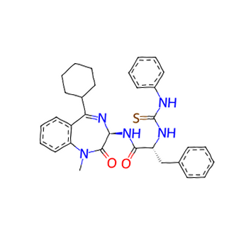 CN1C(=O)[C@H](NC(=O)[C@@H](Cc2ccccc2)NC(=S)Nc2ccccc2)N=C(C2CCCCC2)c2ccccc21